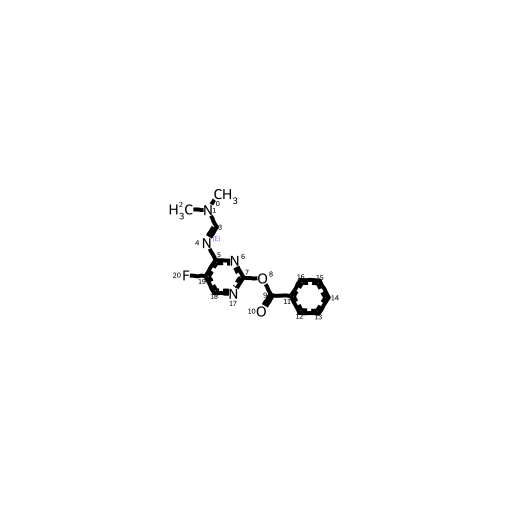 CN(C)/C=N/c1nc(OC(=O)c2ccccc2)ncc1F